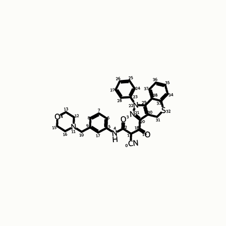 N#CC(C(=O)Nc1cccc(CN2CCOCC2)c1)C(=O)c1nn(-c2ccccc2)c2c1CSc1ccccc1-2